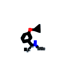 CNN[C@H](C)c1cccc(OC2CC2)c1